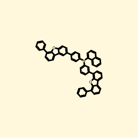 c1ccc(-c2cccc3c2oc2ccc(-c4ccc(N(c5cccc(-c6cccc7c6oc6c(-c8ccccc8)cccc67)c5)c5cccc6ccccc56)cc4)cc23)cc1